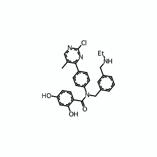 CCNCc1cccc(CN(C(=O)c2ccc(O)cc2O)c2ccc(-c3nc(Cl)ncc3C)cc2)c1